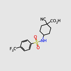 N#CC1(C(=O)O)CCC(NS(=O)(=O)c2ccc(C(F)(F)F)cc2)CC1